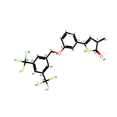 CC1C=C(c2cccc(OCc3cc(C(F)(F)F)cc(C(F)(F)F)c3)c2)SC1=O